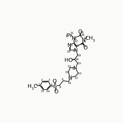 Cc1ccc(S(=O)(=O)CCCN2CCN(CC(O)Cn3cnc4c3c(=O)n(C)c(=O)n4C(C)C)CC2)cc1